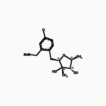 CNCc1cc(Cl)ccc1C[C@H]1O[C@@H](N)[C@H](O)[C@]1(C)O